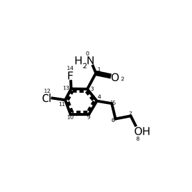 NC(=O)c1c([CH]CCO)ccc(Cl)c1F